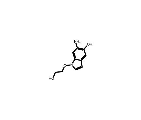 Nc1cc2c(ccn2OCCO)cc1O